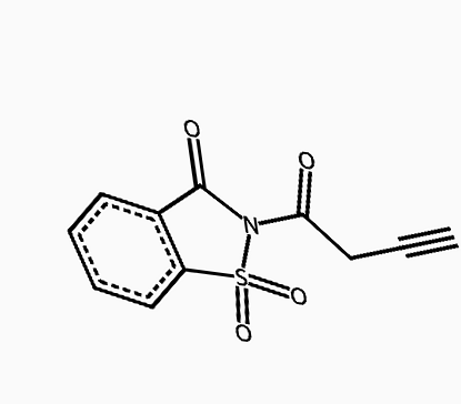 C#CCC(=O)N1C(=O)c2ccccc2S1(=O)=O